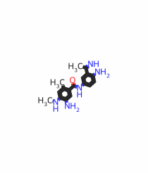 CNc1cc(C)c(C(=O)Nc2ccc(N)c(C(C)=N)c2)cc1N